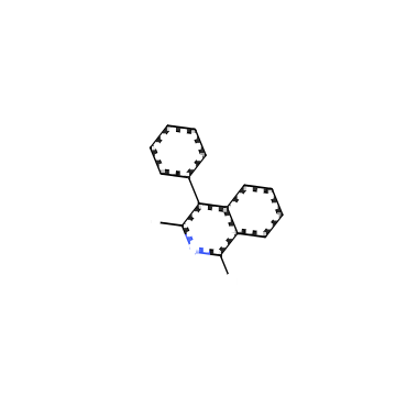 Cc1nc(C)c2ccccc2c1-c1ccccc1